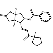 CC1(C(=O)/C=C/[C@@H]2[C@H]3CC(=O)O[C@H]3C[C@H]2OC(=O)c2ccccc2)CCCC1